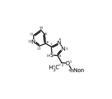 CCCCCCCCCO[C@H](C)c1nnc(-c2cccnc2)s1